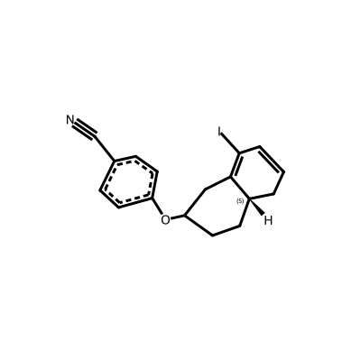 N#Cc1ccc(OC2CC[C@H]3CC=CC(I)=C3C2)cc1